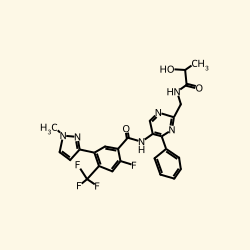 CC(O)C(=O)NCc1ncc(NC(=O)c2cc(-c3ccn(C)n3)c(C(F)(F)F)cc2F)c(-c2ccccc2)n1